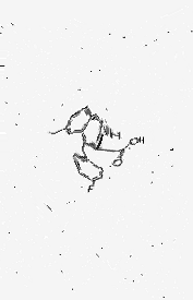 Cc1ccc2[nH]c(C(=O)O)c(-c3ccc(F)cc3)c2c1